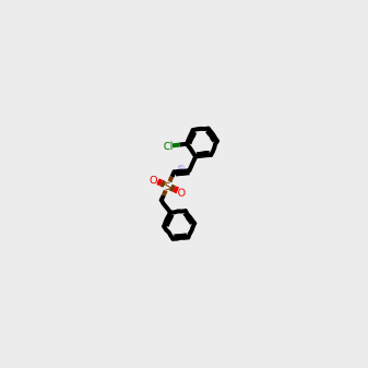 O=S(=O)(/C=C/c1ccccc1Cl)Cc1ccccc1